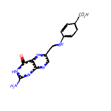 Nc1nc2ncc(CNC3=CCC(C(=O)O)C=C3)nc2c(=O)[nH]1